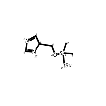 CC(C)(C)[Si](C)(C)OCC1C=NC=N1